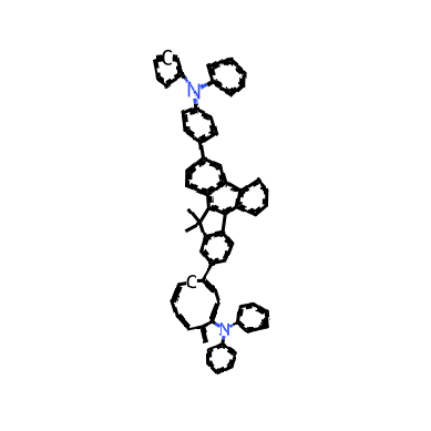 C=C1/C=C\C=C/C/C(c2ccc3c(c2)C(C)(C)c2c-3c3ccccc3c3cc(-c4ccc(N(c5ccccc5)c5ccccc5)cc4)ccc23)=C\C=C/1N(c1ccccc1)c1ccccc1